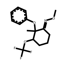 CON=C1CCCC(OC(F)(F)F)C1(C)Oc1ccccc1